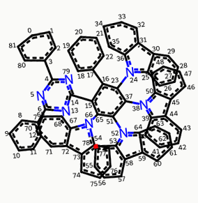 c1ccc(-c2nc(-c3ccccc3)nc(-c3c(-c4ccccc4)c(-n4c5ccccc5c5ccccc54)c(-n4c5ccccc5c5ccccc54)c(-n4c5ccccc5c5ccccc54)c3-n3c4ccccc4c4ccccc43)n2)cc1